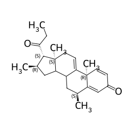 CCC(=O)[C@H]1[C@H](C)CC2C3C[C@H](C)C4=CC(=O)C=C[C@]4(C)C3=CC[C@@]21C